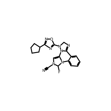 N#CN1C=C2N(c3ccccc3C3=NCN(c4nc(C5CCCC5)no4)N23)C1F